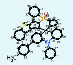 Cc1ccc(-c2ccc3c(c2)N(c2ccccc2)c2ccccc2C32c3ccccc3P(=O)(c3ccccc3)c3cc4sc5ccccc5c4cc32)cc1